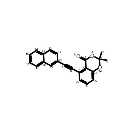 CC1(C)OC(=O)c2c(C#Cc3ccc4ccccc4c3)cccc2O1